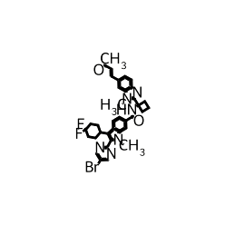 CC(=O)/C=C/c1ccc2nc(C3(NC(=O)c4ccc5c(C6CCC(F)(F)CC6)c(-c6ncc(Br)cn6)n(C)c5c4)CCC3)n(C)c2c1